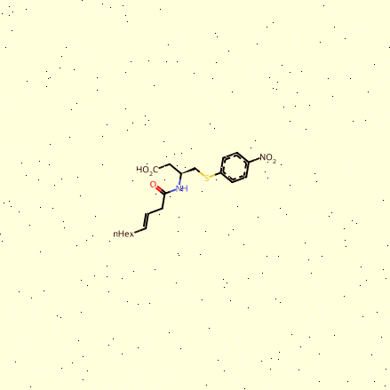 CCCCCCC=CCC(=O)N[C@H](CSc1ccc([N+](=O)[O-])cc1)CC(=O)O